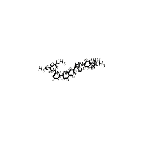 C[C@@H]1CN(c2cccc(-c3ccc4cnc(CC(=O)Nc5ccc(S(C)(=N)=O)cc5)cc4n3)n2)C[C@H](C)O1